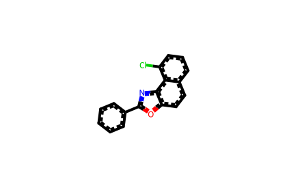 Clc1cccc2ccc3oc(-c4ccccc4)nc3c12